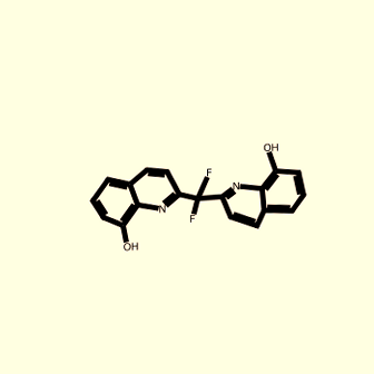 Oc1cccc2ccc(C(F)(F)c3ccc4cccc(O)c4n3)nc12